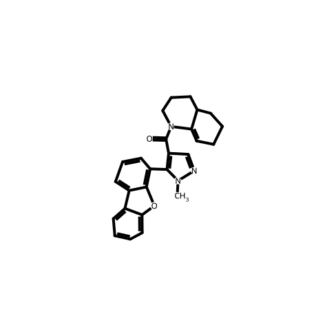 Cn1ncc(C(=O)N2CCCC3CCCC=C32)c1-c1cccc2c1oc1ccccc12